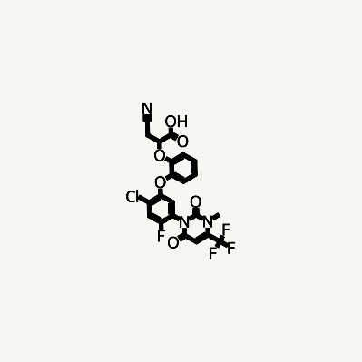 Cn1c(C(F)(F)F)cc(=O)n(-c2cc(Oc3ccccc3OC(CC#N)C(=O)O)c(Cl)cc2F)c1=O